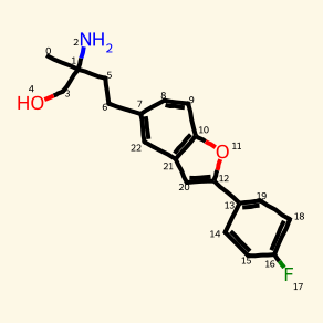 CC(N)(CO)CCc1ccc2oc(-c3ccc(F)cc3)cc2c1